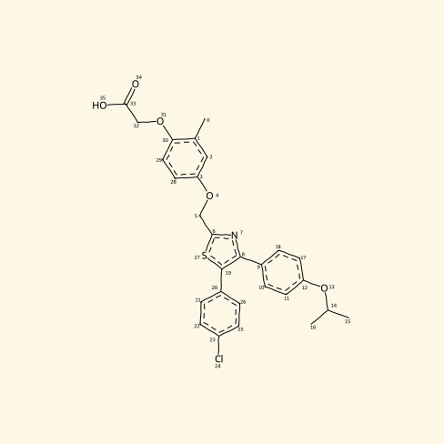 Cc1cc(OCc2nc(-c3ccc(OC(C)C)cc3)c(-c3ccc(Cl)cc3)s2)ccc1OCC(=O)O